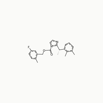 Cc1ccc(F)cc1COC(=O)n1ccnc1[C@@H](C)c1cccc(C)c1C